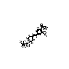 COc1cc(/C=C/C2CCN(C(=O)OC(C)(C)C)CC2)ccc1[N+](=O)[O-]